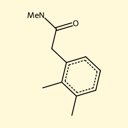 CNC(=O)Cc1cccc(C)c1C